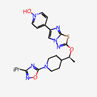 CC(C)c1noc(N2CCC([C@H](C)Oc3nn4cc(-c5cc[n+](O)cc5)nc4s3)CC2)n1